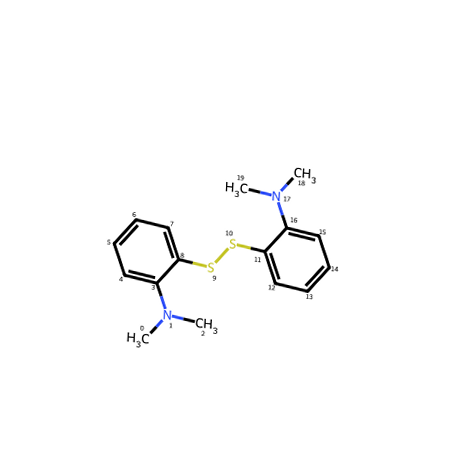 CN(C)c1ccccc1SSc1ccccc1N(C)C